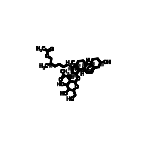 CC(=O)NC1C(O[C@H]2C[C@H](CCCC[C@@H](C)COC(C)=O)[C@@]3(C)CC[C@H]4[C@@H](CC=C5C[C@H](O)CC[C@@]54C)[C@H]23)OC(CO)C(O)C1O